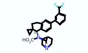 O=C(O)N(C1CN2CCC1CC2)[C@@H]1c2ccc(-c3cccc(C(F)F)c3)cc2CCC12CC2